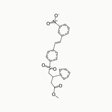 COC(=O)CC(CS(=O)(=O)c1ccc(/C=C/c2cccc([N+](=O)[O-])c2)cc1)c1ccccc1